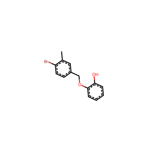 Cc1cc(COc2ccccc2O)ccc1Br